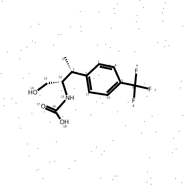 C[C@H](c1ccc(C(F)(F)F)cc1)[C@@H](CO)NC(=O)O